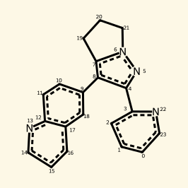 c1ccc(-c2nn3c(c2-c2ccc4ncccc4c2)CCC3)nc1